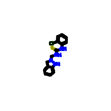 S=C(NCN1Cc2ccccc2N1)Nc1ccccc1Cl